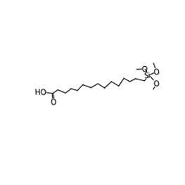 CO[Si](CCCCCCCCCCCCCCC(=O)O)(OC)OC